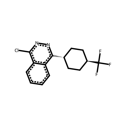 FC(F)(F)[C@H]1CC[C@H](c2nnc(Cl)c3ccccc32)CC1